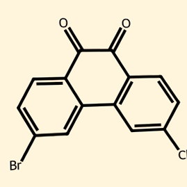 O=C1C(=O)c2ccc(Br)cc2-c2cc(Cl)ccc21